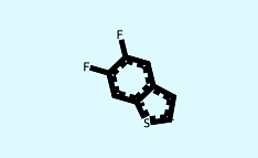 Fc1cc2c[c]sc2cc1F